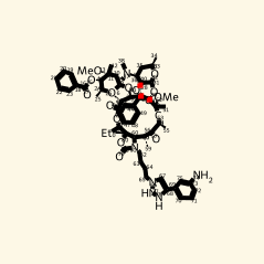 CCC1OC(=O)[C@H](C)[C@@H](OC2C[C@@](C)(OC)[C@@H](OC(=O)c3ccccc3)[C@H](C)O2)[C@H](C)[C@@H](OC2O[C@H](C)C[C@H](N(C)C)[C@H]2OC(=O)c2ccccc2)[C@@](C)(OC)C[C@@H](C)C(=O)[C@H](C)C2N(CCCCN3C=C(c4cccc(N)c4)NN3)C(=O)O[C@]12C